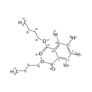 [2H]c1c([2H])c([2H])c(C(=O)OCCCC)c(C(=O)OCCCC)c1[2H]